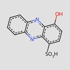 O=S(=O)(O)c1ccc(O)c2nc3ccccc3nc12